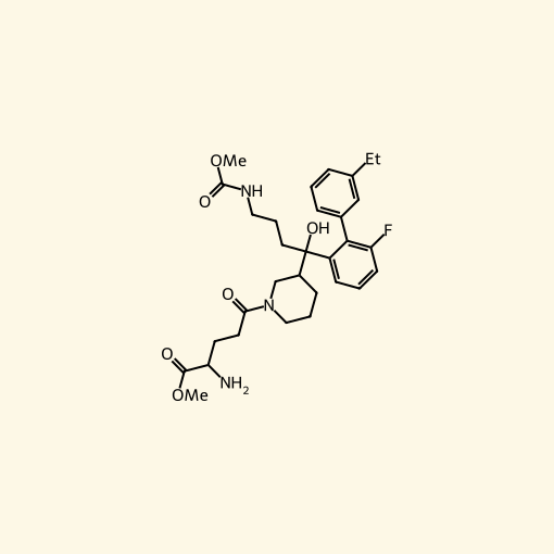 CCc1cccc(-c2c(F)cccc2C(O)(CCCNC(=O)OC)C2CCCN(C(=O)CCC(N)C(=O)OC)C2)c1